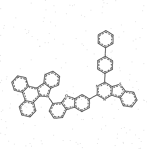 c1ccc(-c2ccc(-c3nc(-c4ccc5c(c4)oc4c(-n6c7ccccc7c7c8ccccc8c8ccccc8c76)cccc45)nc4c3sc3ccccc34)cc2)cc1